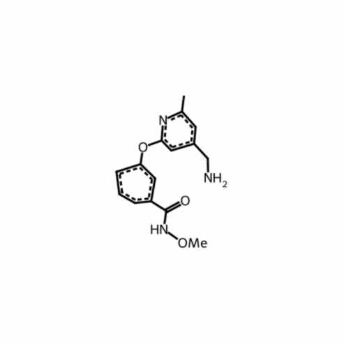 CONC(=O)c1cccc(Oc2cc(CN)cc(C)n2)c1